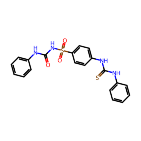 O=C(Nc1ccccc1)NS(=O)(=O)c1ccc(NC(=S)Nc2ccccc2)cc1